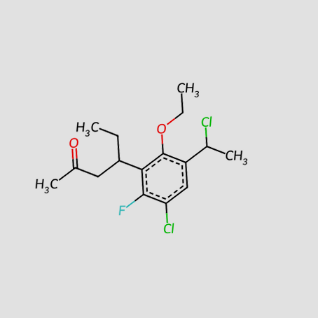 CCOc1c(C(C)Cl)cc(Cl)c(F)c1C(CC)CC(C)=O